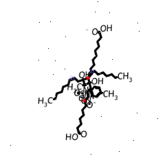 CCCCCC/C=C\CC(O)(C/C=C\CCCCCC)C(C)(N(c1ccc(C)cc1[N+](=O)[O-])[SH](=O)=O)C(O)(CCCCCCCCCCC(=O)O)CCCCCCCCCCC(=O)O